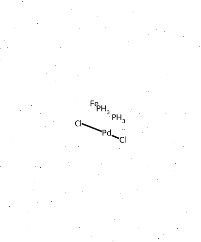 P.P.[Cl][Pd][Cl].[Fe]